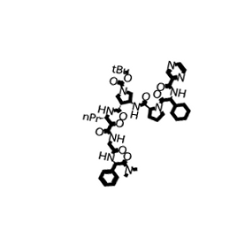 CCC[C@H](NC(=O)[C@@H]1CN(C(=O)OC(C)(C)C)C[C@@H]1NC(=O)[C@@H]1CCCN1C(=O)[C@H](NC(=O)c1cnccn1)C1CCCCC1)C(=O)C(=O)NCC(=O)N[C@H](C(=O)N(C)C)c1ccccc1